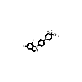 CC1(C)CCN(c2ccc(-n3ncc4cc(F)cc(F)c43)cc2)CC1